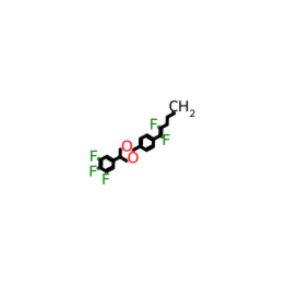 C=CCC/C(F)=C(\F)c1ccc(C2OCC(c3cc(F)c(F)c(F)c3)CO2)cc1